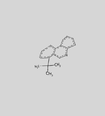 CC(C)(C)c1cccc2c1cnc1ccccc12